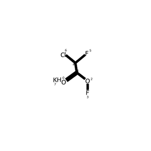 O=C(OF)C(F)Cl.[KH]